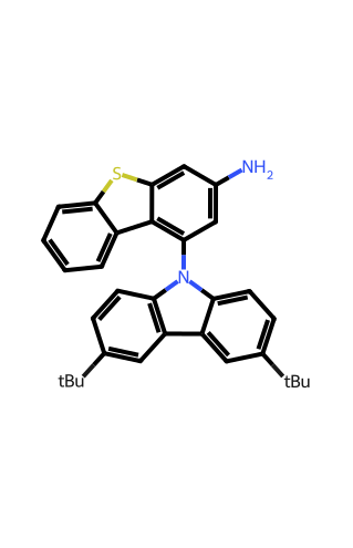 CC(C)(C)c1ccc2c(c1)c1cc(C(C)(C)C)ccc1n2-c1cc(N)cc2sc3ccccc3c12